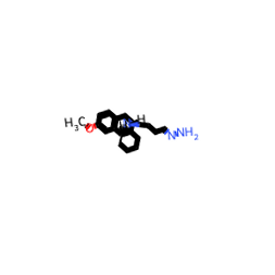 COc1ccc2c(c1)[C@@]13CCCC[C@H]1[C@@H](C2)N(CCC=NN)CC3